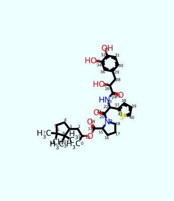 CC(CC1CCC(C)(C)C1(C)C)OC(=O)C1CCCN1C(=O)C(NC(=O)C(O)Cc1ccc(O)c(O)c1)c1cccs1